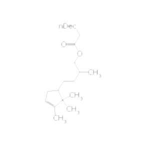 CCCCCCCCCCCC(=O)OCC(C)CCC1CC=C(C)C1(C)C